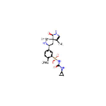 CCC1(CC(NC=O)c2ccc(OC)c(S(=O)(=O)NC(=O)NC3CC3)c2)C(=O)NC=C1C